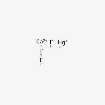 [Ca+2].[Hg+].[I-].[I-].[I-]